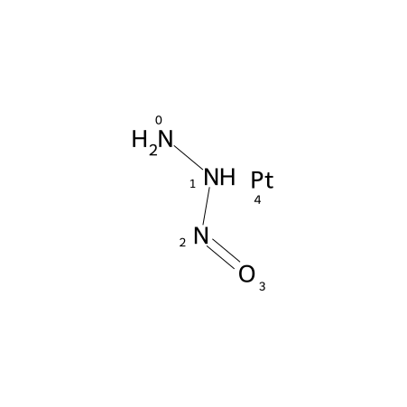 NNN=O.[Pt]